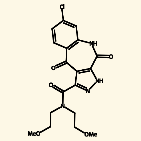 COCCN(CCOC)C(=O)c1n[nH]c2c(=O)[nH]c3cc(Cl)ccc3c(=O)c12